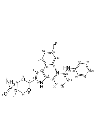 CC1(C(N)=O)COC(c2nc(-c3ccc(F)cc3)c(-c3ccnc(Nc4ccncc4)n3)[nH]2)OC1